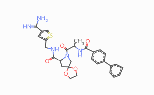 C[C@@H](NC(=O)c1ccc(-c2ccccc2)cc1)C(=O)N1CC2(C[C@H]1C(=O)NCc1cc(C(=N)N)cs1)OCCO2